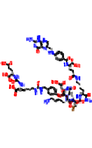 NCCCC[C@H](CC(=O)[C@H](CC(=O)O)NC(=O)[C@H](CC(=O)O)NC(=O)Cc1ccc(CNC(=O)NCCCC[C@H](NC(=O)N[C@@H](CCC(=O)O)C(=O)O)C(=O)O)cc1)C(=O)N[C@@H](CS)C(=O)N[C@@H](CCCCNC(=O)CC[C@H](NC(=O)c1ccc(NCc2cnc3[nH]c(N)nc(=O)c3n2)cc1)C(=O)O)C(N)=O